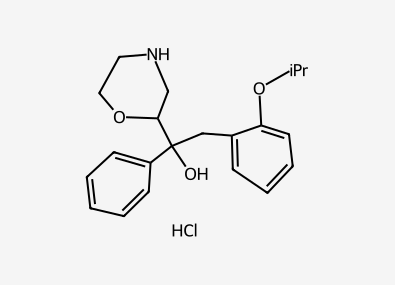 CC(C)Oc1ccccc1CC(O)(c1ccccc1)C1CNCCO1.Cl